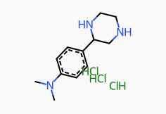 CN(C)c1ccc(C2CNCCN2)cc1.Cl.Cl.Cl